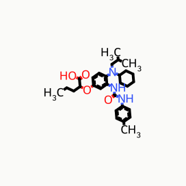 CCCC(Oc1ccc(N(CC(C)C)C2CCCCC2)c(NC(=O)Nc2ccc(C)cc2)c1)C(=O)O